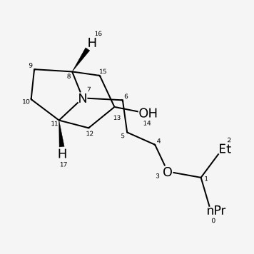 CCCC(CC)OCCCN1[C@@H]2CC[C@H]1CC(O)C2